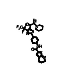 CCN(C(=O)c1sc(-c2ccc(NC(=O)c3cc4cccnc4s3)cc2)nc1C(F)(F)C(F)(F)F)N1CCCCC1